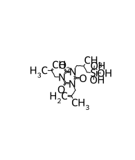 C=C(C)Cn1c(=O)n(CC(=C)C)c(=O)n(CC(C)C[Si](O)(O)O)c1=O